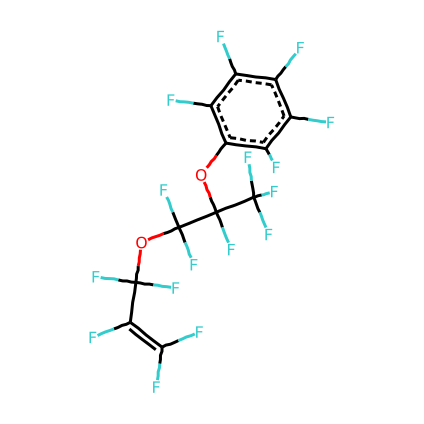 FC(F)=C(F)C(F)(F)OC(F)(F)C(F)(Oc1c(F)c(F)c(F)c(F)c1F)C(F)(F)F